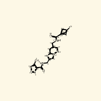 Cc1nonc1C(=O)NCc1cn2ncc(CNC(=O)C34CC(F)(C3)C4)cc2n1